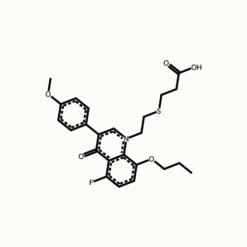 CCCOc1ccc(F)c2c(=O)c(-c3ccc(OC)cc3)cn(CCSCCC(=O)O)c12